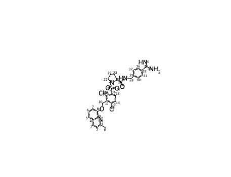 Cc1ccc2cccc(OCc3c(Cl)ccc(S(=O)(=O)N4CCC[C@H]4C(=O)NCc4ccc(C(=N)N)cc4)c3Cl)c2n1